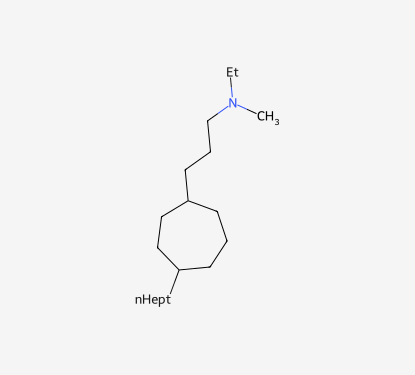 CCCCCCCC1CCCC(CCCN(C)CC)CC1